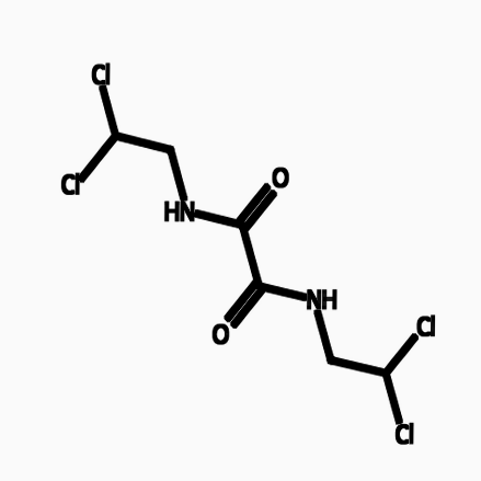 O=C(NCC(Cl)Cl)C(=O)NCC(Cl)Cl